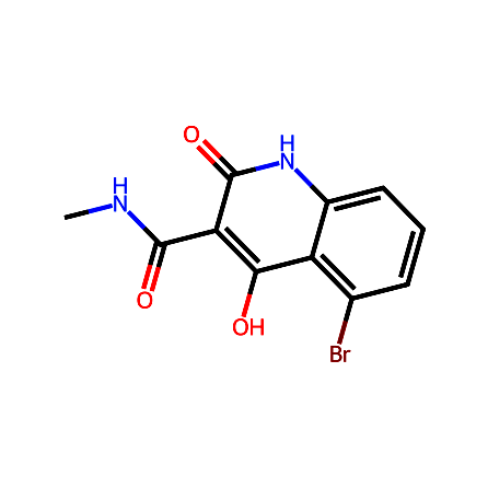 CNC(=O)c1c(O)c2c(Br)cccc2[nH]c1=O